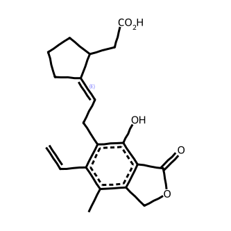 C=Cc1c(C)c2c(c(O)c1C/C=C1\CCCC1CC(=O)O)C(=O)OC2